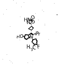 Cc1cc(-n2c(C(C)C)c([C@H]3C[C@@H](c4n[nH]c(=O)o4)C3)c3cc(O)ccc32)ccc1F